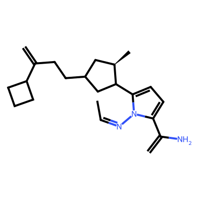 C=C(N)c1ccc(C2CC(CCC(=C)C3CCC3)C[C@H]2C)n1/N=C\C